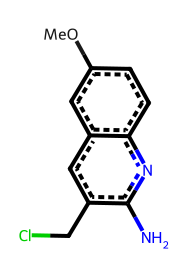 COc1ccc2nc(N)c(CCl)cc2c1